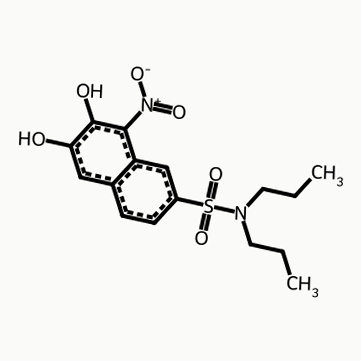 CCCN(CCC)S(=O)(=O)c1ccc2cc(O)c(O)c([N+](=O)[O-])c2c1